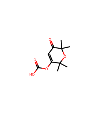 CC1(C)OC(C)(C)C(OC(=O)O)=CC1=O